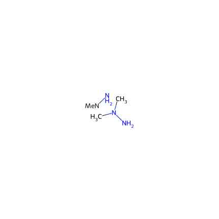 CN(C)N.CNN